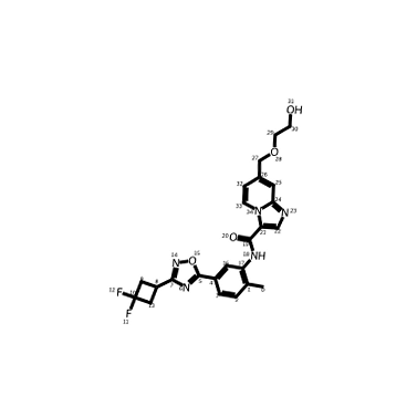 Cc1ccc(-c2nc(C3CC(F)(F)C3)no2)cc1NC(=O)c1cnc2cc(COCCO)ccn12